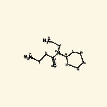 CCN(C(=O)CCN)C1CCCCC1